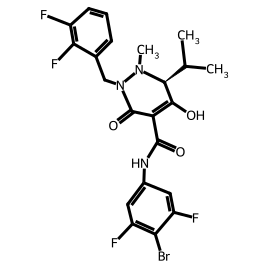 CC(C)[C@H]1C(O)=C(C(=O)Nc2cc(F)c(Br)c(F)c2)C(=O)N(Cc2cccc(F)c2F)N1C